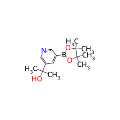 CC(C)(O)c1cncc(B2OC(C)(C)C(C)(C)O2)c1